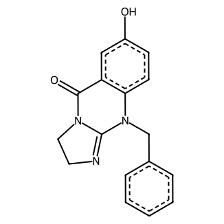 O=C1c2cc(O)ccc2N(Cc2ccccc2)C2=NCCN12